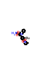 Cc1c(S(N)(=O)=O)cc(C2=CC=C(S(=O)(=O)N3CCCC(C)C3)C(C(C)(C)C)C2)n1CC1CCCCC1